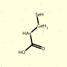 O=C(O)[AsH][GeH2][SeH]